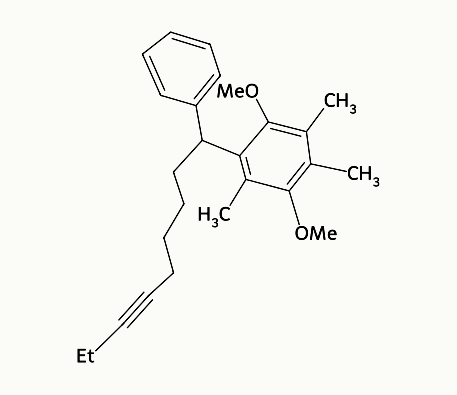 CCC#CCCCCC(c1ccccc1)c1c(C)c(OC)c(C)c(C)c1OC